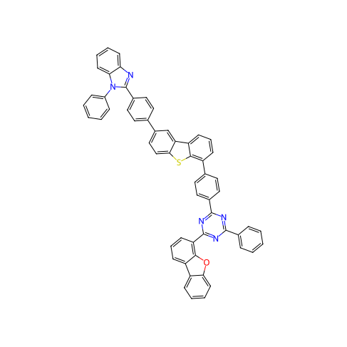 c1ccc(-c2nc(-c3ccc(-c4cccc5c4sc4ccc(-c6ccc(-c7nc8ccccc8n7-c7ccccc7)cc6)cc45)cc3)nc(-c3cccc4c3oc3ccccc34)n2)cc1